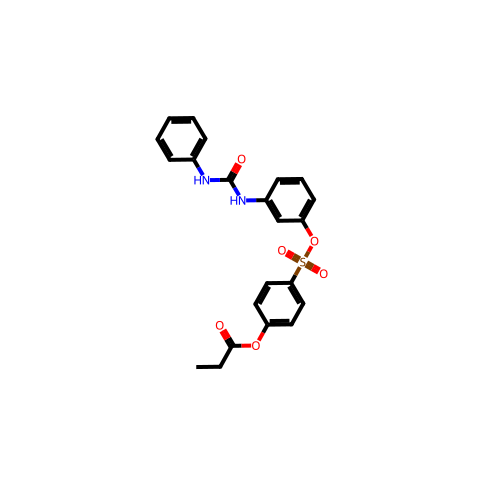 CCC(=O)Oc1ccc(S(=O)(=O)Oc2cccc(NC(=O)Nc3ccccc3)c2)cc1